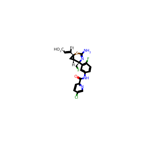 CC/C(=C\C(=O)O)[C@]12C[C@H]1[C@@](CF)(c1cc(NC(=O)c3ccc(Cl)cn3)ccc1F)N=C(N)S2